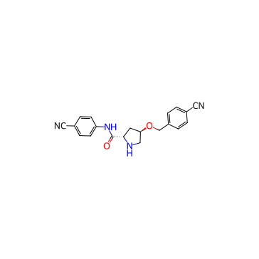 N#Cc1ccc(CO[C@H]2CN[C@H](C(=O)Nc3ccc(C#N)cc3)C2)cc1